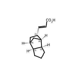 O=C(O)C=C[C@H]1C[C@H]2C[C@@H]1[C@H]1CCC[C@@H]21